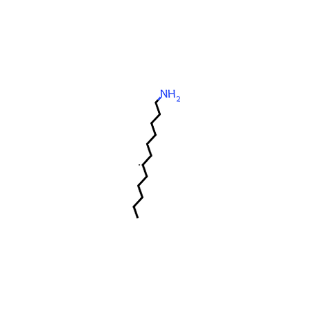 CCCCC[CH]CCCCCCN